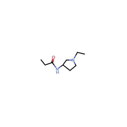 CCC(=O)NC1CCN(CC)C1